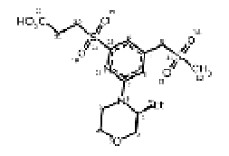 CC[C@H]1COCCN1c1cc(CS(C)(=O)=O)cc(S(=O)(=O)CCC(=O)O)n1